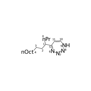 [CH2]CCC(CCCCCCCCCC)C1=NN=NNC=C1